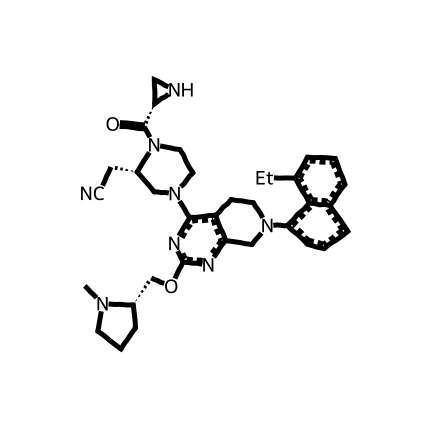 CCc1cccc2cccc(N3CCc4c(nc(OC[C@@H]5CCCN5C)nc4N4CCN(C(=O)[C@@H]5CN5)[C@@H](CC#N)C4)C3)c12